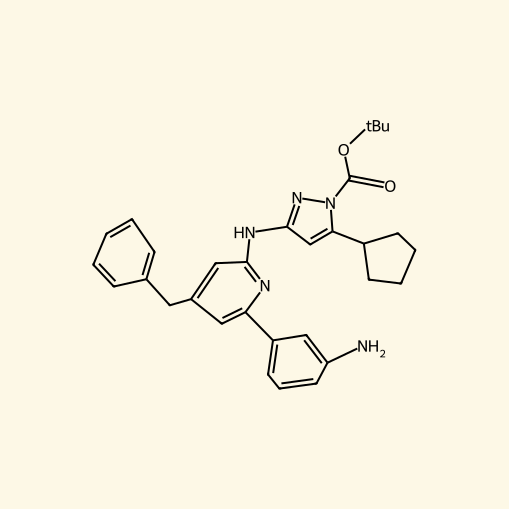 CC(C)(C)OC(=O)n1nc(Nc2cc(Cc3ccccc3)cc(-c3cccc(N)c3)n2)cc1C1CCCC1